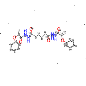 CC(Oc1ccccc1)C(=O)NNC(=O)CCCCC(=O)NNC(=O)C(C)Oc1ccccc1